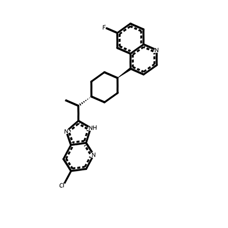 CC(c1nc2cc(Cl)cnc2[nH]1)[C@H]1CC[C@H](c2ccnc3ccc(F)cc32)CC1